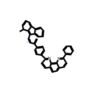 C=C(/C=C\C1=C2C(=CC=CC2C)c2ccccc21)c1ccc(-c2ccc3ccc4ccc(-c5ccccc5)nc4c3n2)cc1